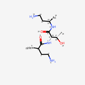 CCCCCCC(CCN)C(=O)N[C@H](C(=O)N[C@@H](CCN)C(C)=O)[C@H](C)O